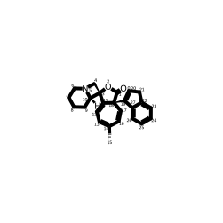 O=C1O[C@]2(CN3CCCC[C@H]32)C2=CC=C(F)C=C[C@@]12C1=CCc2ccccc21